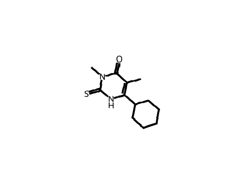 Cc1c(C2CCCCC2)[nH]c(=S)n(C)c1=O